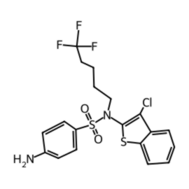 Nc1ccc(S(=O)(=O)N(CCCCC(F)(F)F)c2sc3ccccc3c2Cl)cc1